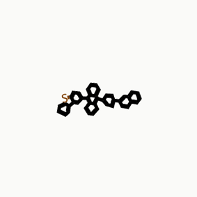 c1ccc2cc(-c3ccc(-c4c5ccccc5c(-c5ccc6sc7ccccc7c6c5)c5ccccc45)cc3)ccc2c1